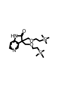 C[Si](C)(C)CCOCC1(COCC[Si](C)(C)C)C(=O)Nc2ccncc21